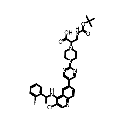 CC(Nc1c(Cl)cnc2ccc(-c3cnc(N4CCN(C(CNC(=O)OC(C)(C)C)C(=O)O)CC4)nc3)cc12)c1ccccc1F